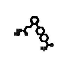 NC(=O)C1CCC2(CC1)CCN(c1ccccc1C=CC(=O)NO)CC2